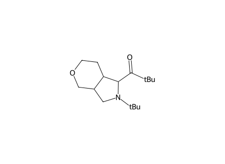 CC(C)(C)C(=O)C1C2CCOCC2CN1C(C)(C)C